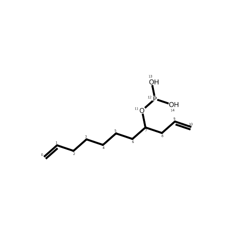 C=CCCCCCC(CC=C)OP(O)O